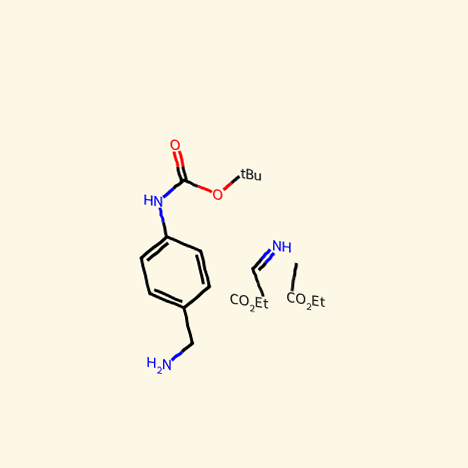 CC(C)(C)OC(=O)Nc1ccc(CN)cc1.CCOC(=O)C=N.CCOC(C)=O